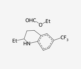 CCC1CCc2cc(C(F)(F)F)ccc2N1.CCOC=O